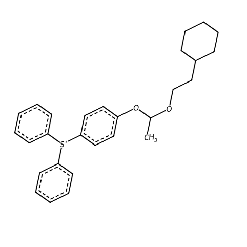 CC(OCCC1CCCCC1)Oc1ccc([S+](c2ccccc2)c2ccccc2)cc1